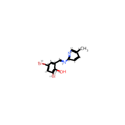 Cc1ccc(/N=C/c2cc(Br)cc(Br)c2O)nc1